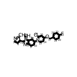 Cn1nccc1-c1nc2ccc(-n3ccc(OCc4ccc(F)cc4)cc3=O)cc2n1C